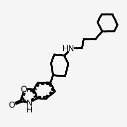 O=c1[nH]c2ccc(C3CCC(NCCCC4CCCCC4)CC3)cc2o1